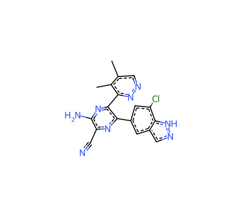 Cc1cnnc(-c2nc(N)c(C#N)nc2-c2cc(Cl)c3[nH]ncc3c2)c1C